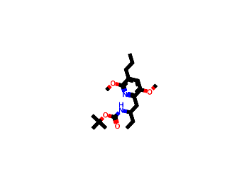 CCCc1cc(OC)c(CC(CC)NC(=O)OC(C)(C)C)nc1OC